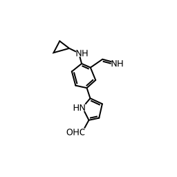 N=Cc1cc(-c2ccc(C=O)[nH]2)ccc1NC1CC1